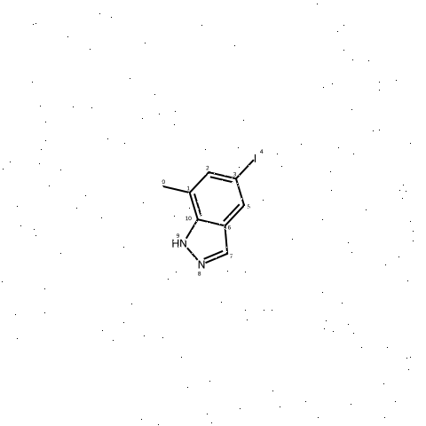 Cc1cc(I)cc2cn[nH]c12